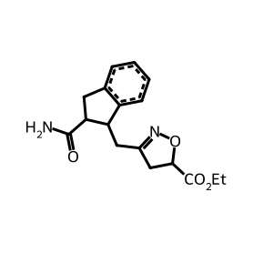 CCOC(=O)C1CC(CC2c3ccccc3CC2C(N)=O)=NO1